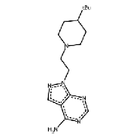 CC(C)(C)C1CCN(CCn2ncc3c(N)ncnc32)CC1